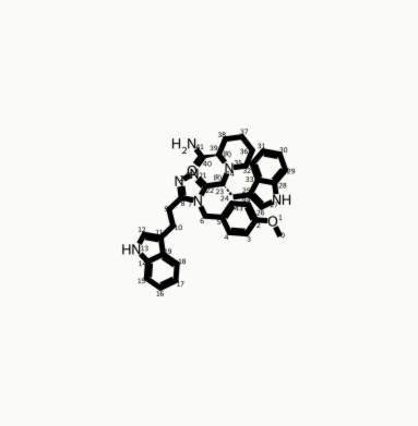 COc1ccc(Cn2c(CCc3c[nH]c4ccccc34)nnc2[C@@H](Cc2c[nH]c3ccccc23)N2CCCC[C@@H]2C(N)=O)cc1